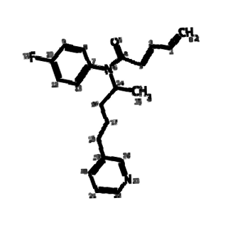 C=CC=CC(=O)N(c1ccc(F)cc1)C(C)CCCc1cccnc1